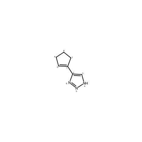 C1=C(c2c[nH]nn2)CCC1